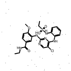 CCNC(=O)c1ccc(OC)c(Nc2ncc(Cl)c(Nc3ccccc3NS(=O)(=O)CC)n2)c1